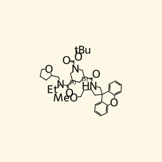 CCN(CC1CCCO1)C(=O)[C@@H]1C[C@H](C(=O)NCC2(CCCCOC)c3ccccc3Oc3ccccc32)CN(C(=O)OC(C)(C)C)C1